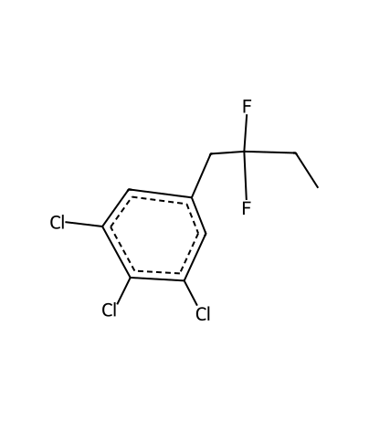 CCC(F)(F)Cc1cc(Cl)c(Cl)c(Cl)c1